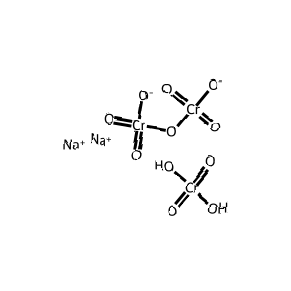 [Na+].[Na+].[O]=[Cr](=[O])([O-])[O][Cr](=[O])(=[O])[O-].[O]=[Cr](=[O])([OH])[OH]